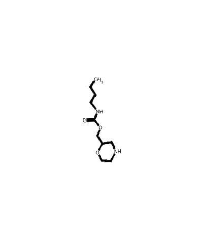 CCCCNC(=O)OCC1CNCCO1